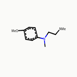 CNCCN(C)c1ccc(OC)cc1